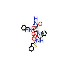 O=C(NCc1ccccc1)C(=O)[C@H](C[C@@H]1CCNC1=O)NC(=O)[C@H](Cc1ccccc1)NC(=O)c1cc2ccccc2s1